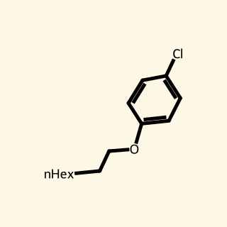 [CH2]CCCCCCCOc1ccc(Cl)cc1